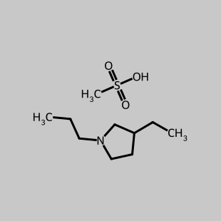 CCCN1CCC(CC)C1.CS(=O)(=O)O